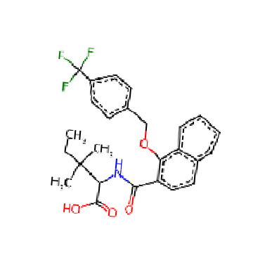 CCC(C)(C)C(NC(=O)c1ccc2ccccc2c1OCc1ccc(C(F)(F)F)cc1)C(=O)O